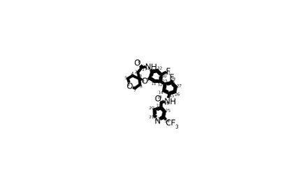 O=C1CC2(CCOCC2)Oc2cc(-c3cc(NC(=O)c4ccnc(C(F)(F)F)c4)ccc3F)c(F)cc2N1